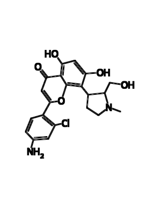 CN1CCC(c2c(O)cc(O)c3c(=O)cc(-c4ccc(N)cc4Cl)oc23)C1CO